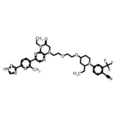 CCC1CC(OCCOCCN2CC(=O)N(CC)c3nc(-c4ccc(-c5nc[nH]n5)nc4C)cnc32)CCN1c1ccc(C#N)c(C(F)(F)F)c1